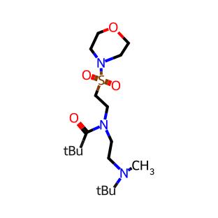 CN(CCN(CCS(=O)(=O)N1CCOCC1)C(=O)C(C)(C)C)C(C)(C)C